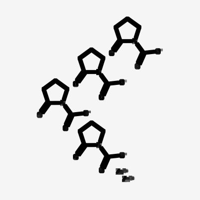 O=C([O-])N1CCCC1=O.O=C([O-])N1CCCC1=O.O=C([O-])N1CCCC1=O.O=C([O-])N1CCCC1=O.[Zn+2].[Zn+2]